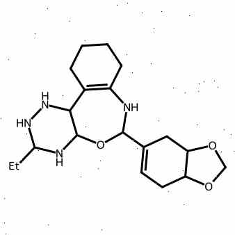 CCC1NNC2C3=C(CCCC3)NC(C3=CCC4OCOC4C3)OC2N1